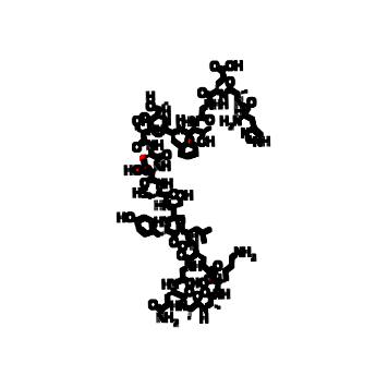 CC(C)C[C@H](NC(=O)[C@H](Cc1ccc(O)cc1)NC(=O)[C@H](CO)NC(=O)[C@H](CS)NC(=O)[C@@H](NC(=O)[C@H](CC(=O)O)NC(=O)[C@H](CO)NC(=O)[C@@H](NC(=O)[C@H](Cc1ccccc1)NC(=O)[C@@H](NC(=O)CNC(=O)[C@H](CCC(=O)O)NC(=O)[C@H](C)NC(=O)[C@@H](N)Cc1c[nH]cn1)[C@@H](C)O)[C@@H](C)O)C(C)C)C(=O)N[C@@H](CCC(=O)O)C(=O)NCC(=O)N[C@@H](CCC(N)=O)C(=O)N[C@@H](C)C(=O)N[C@@H](C)C(=O)N[C@@H](CCCCN)C(=O)O